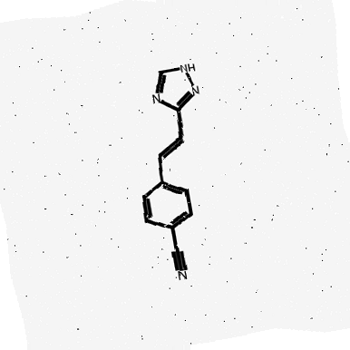 N#Cc1ccc(C=Cc2nc[nH]n2)cc1